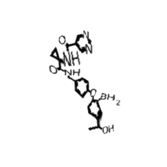 Bc1cc(C(C)O)ccc1Oc1ccc(CNC(=O)C2(NC(=O)c3cncnc3)CC2)cc1